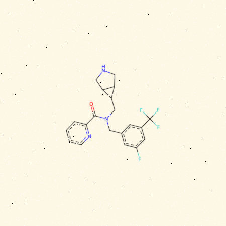 O=C(c1ccccn1)N(Cc1cc(F)cc(C(F)(F)F)c1)CC1C2CNCC21